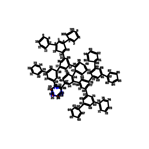 c1ccc(-c2cc(-c3ccccc3)cc(-c3cc(-c4cc(-c5ccccc5)cc(-c5ccccc5)c4)cc(-c4ccccc4-c4ccc(-c5ncncn5)cc4-c4cc(-c5cc(-c6ccccc6)cc(-c6ccccc6)c5)cc(-c5cc(-c6ccccc6)cc(-c6ccccc6)c5)c4)c3)c2)cc1